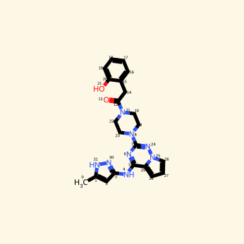 Cc1cc(Nc2nc(N3CCN(C(=O)Cc4ccccc4O)CC3)nn3cccc23)n[nH]1